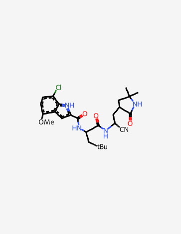 COc1ccc(Cl)c2[nH]c(C(=O)NC(CC(C)(C)C)C(=O)NC(C#N)CC3CC(C)(C)NC3=O)cc12